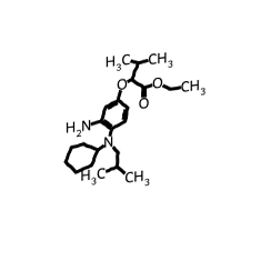 CCOC(=O)C(Oc1ccc(N(CC(C)C)C2CCCCC2)c(N)c1)C(C)C